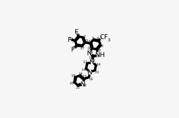 Fc1cc(-c2cc(C(F)(F)F)cc3[nH]c(N4CCN(Cc5ccccn5)CC4)nc23)cc(F)c1F